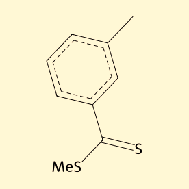 CSC(=S)c1cccc(C)c1